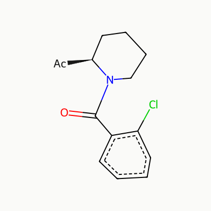 CC(=O)[C@H]1CCCCN1C(=O)c1ccccc1Cl